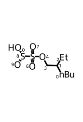 CCCCC(CC)COS(=O)(=O)S(=O)O